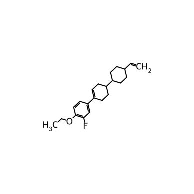 C=CC1CCC(C2CC=C(c3ccc(OCC)c(F)c3)CC2)CC1